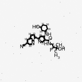 CC(C)(O)C(F)CNC(=O)c1cnc(-c2ccc3cc(C#N)cnn23)cc1N[C@@H]1CCC[C@H](O)C1